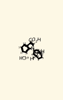 CN1[C@@H]2CC[C@H]1CC(n1cc(C(=O)O)c3ccccc31)C2.Cl